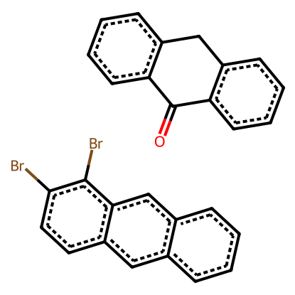 Brc1ccc2cc3ccccc3cc2c1Br.O=C1c2ccccc2Cc2ccccc21